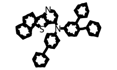 c1ccc(-c2ccc(N(c3ccc(-c4ccccc4)c(-c4ccccc4)c3)c3ccnc4c3sc3c5ccccc5ccc43)cc2)cc1